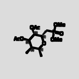 COP(=O)(C[C@@H]1O[C@@H](C)[C@@H](C)[C@@H](OC(C)=O)[C@@H]1OC(C)=O)OC